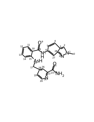 Cn1cc2ccc(NC(=O)c3ccccc3[AsH]Cc3ccnc(C(N)=O)c3)cc2n1